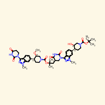 CO[C@H]1CN(C(=O)OC(C)(C)CC2CN(c3nn(C)c4cc([C@@H]5CCN(C(=O)OC(C)(C)C)C[C@@H]5O)ccc34)C(=O)NC2=O)CC[C@H]1c1ccc2c(N3CCC(=O)NC3=O)nn(C)c2c1